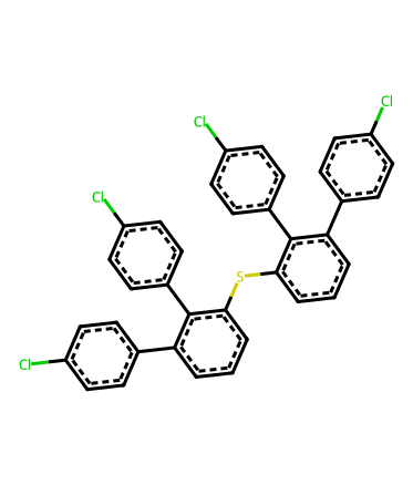 Clc1ccc(-c2cccc(Sc3cccc(-c4ccc(Cl)cc4)c3-c3ccc(Cl)cc3)c2-c2ccc(Cl)cc2)cc1